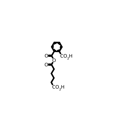 O=C(O)CCCCC(=O)OC(=O)c1ccccc1C(=O)O